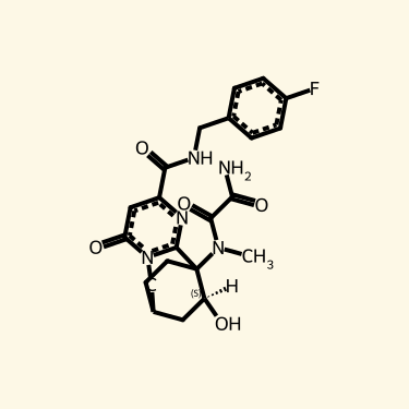 CN(C(=O)C(N)=O)C12CCC(C[C@@H]1O)Cn1c2nc(C(=O)NCc2ccc(F)cc2)cc1=O